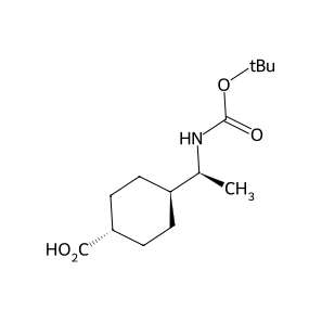 C[C@H](NC(=O)OC(C)(C)C)[C@H]1CC[C@H](C(=O)O)CC1